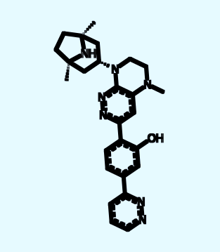 CN1CCN([C@H]2C[C@]3(C)CC[C@](C)(C2)N3)c2nnc(-c3ccc(-c4cccnn4)cc3O)cc21